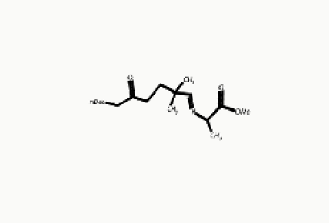 CCCCCCCCCCCC(=O)CCC(C)(C)/C=N/C(C)C(=O)OC